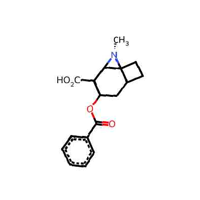 C[N@@]1C2C(C(=O)O)C(OC(=O)c3ccccc3)CC3CCC321